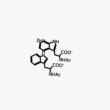 CC(=O)NC(Cc1c[nH]c2ccccc12)C(=O)[O-].CC(=O)NC(Cc1c[nH]c2ccccc12)C(=O)[O-].[Zn+2]